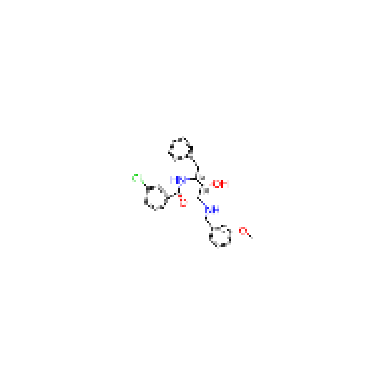 COc1cccc(CNC[C@@H](O)[C@H](Cc2ccccc2)NC(=O)c2cccc(Cl)c2)c1